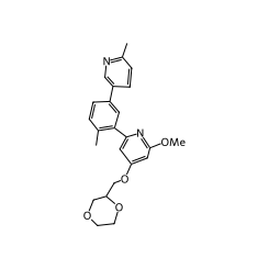 COc1cc(OCC2COCCO2)cc(-c2cc(-c3ccc(C)nc3)ccc2C)n1